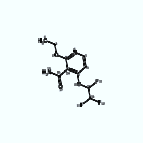 CCOc1nccc(OC(F)C(F)F)c1C(N)=O